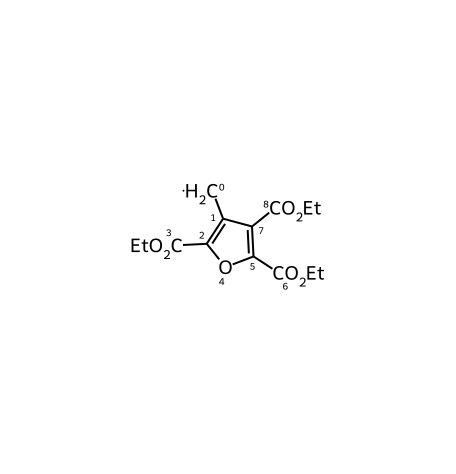 [CH2]c1c(C(=O)OCC)oc(C(=O)OCC)c1C(=O)OCC